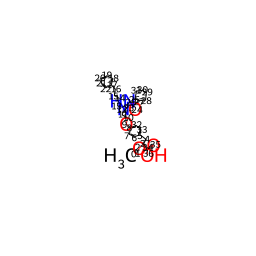 CCOC(Cc1ccc(OCCN(CCCCc2ccccc2)C(=O)NC2CCCCC2)cc1)C(=O)O